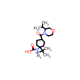 CC(C)C1COCCN1C(=O)C1CCC(NC(=O)O)(C(C)(C)C)CC1